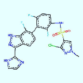 Cn1cc(S(=O)(=O)Nc2ccc(F)c(-c3ccc4c(-c5ncc[nH]5)n[nH]c4c3F)c2F)c(Cl)n1